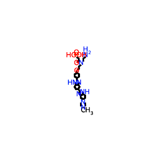 CN1CCN(c2ccc3[nH]c(-c4ccc5[nH]c(-c6ccc(OCCCN(CCCN)C(=O)CCP(=O)(O)O)cc6)nc5c4)nc3c2)CC1